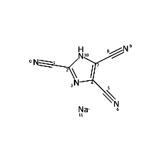 N#Cc1nc(C#N)c(C#N)[nH]1.[Na]